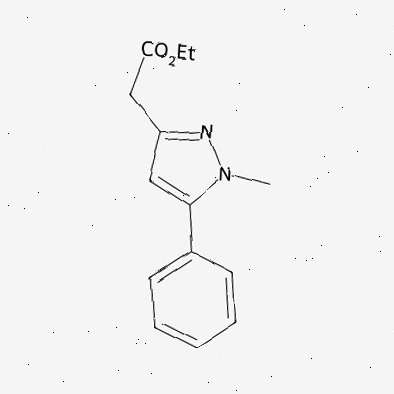 CCOC(=O)Cc1cc(-c2ccccc2)n(C)n1